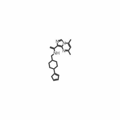 C=C(NCC1CCC(C2=CC=CC2)CC1)c1ncn2c(C)cc(C)nc12